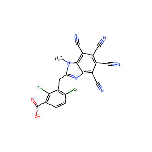 Cn1c(Cc2c(Cl)ccc(C(=O)O)c2Cl)nc2c(C#N)c(C#N)c(C#N)c(C#N)c21